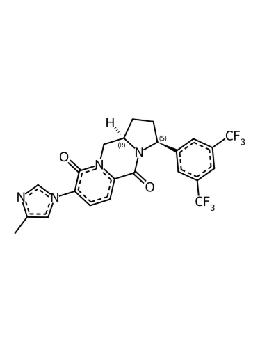 Cc1cn(-c2ccc3n(c2=O)C[C@H]2CC[C@@H](c4cc(C(F)(F)F)cc(C(F)(F)F)c4)N2C3=O)cn1